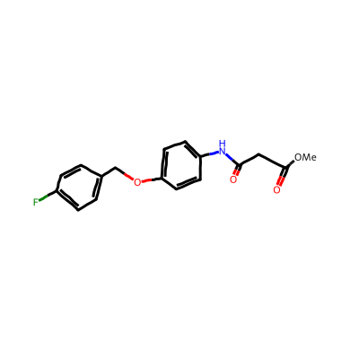 COC(=O)CC(=O)Nc1ccc(OCc2ccc(F)cc2)cc1